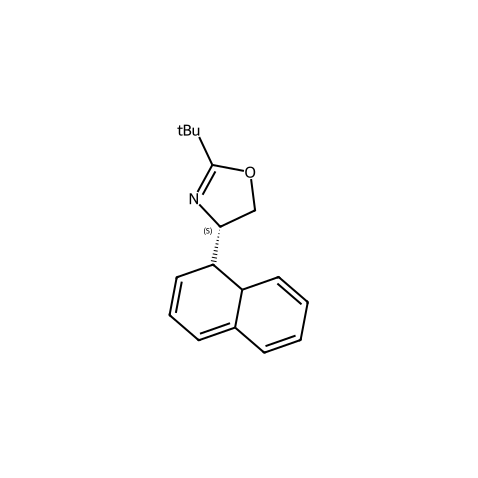 CC(C)(C)C1=N[C@@H](C2C=CC=C3C=CC=CC32)CO1